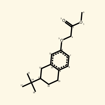 COC(=O)COc1ccc2c(c1)CC(C(C)(C)C)CC2